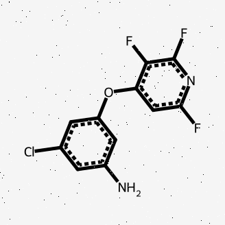 Nc1cc(Cl)cc(Oc2cc(F)nc(F)c2F)c1